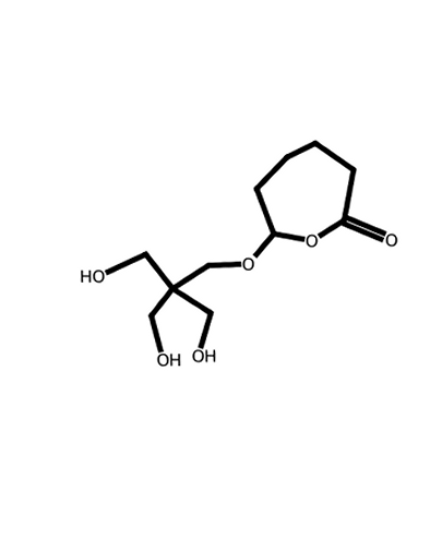 O=C1CCCCC(OCC(CO)(CO)CO)O1